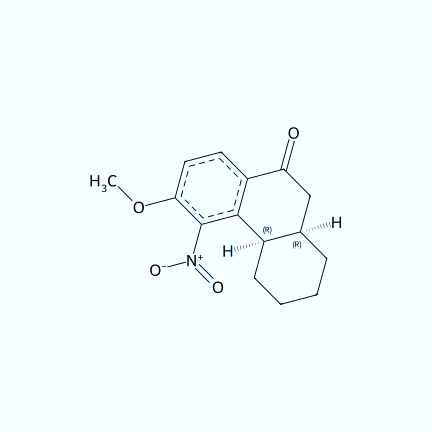 COc1ccc2c(c1[N+](=O)[O-])[C@@H]1CCCC[C@@H]1CC2=O